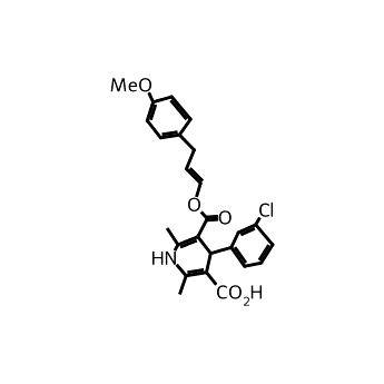 COc1ccc(CC=COC(=O)C2=C(C)NC(C)=C(C(=O)O)C2c2cccc(Cl)c2)cc1